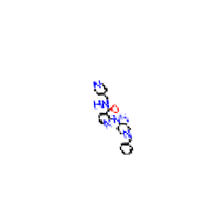 O=C(NCc1ccncc1)c1cccnc1NC1CCN(Cc2ccccc2)CC1